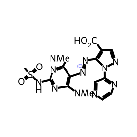 CNc1nc(NS(C)(=O)=O)nc(NC)c1/N=N/c1c(C(=O)O)cnn1-c1cnccn1